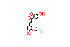 COC1=C(O)C=CC(C=CC(=O)c2ccc(O)cc2O)C1